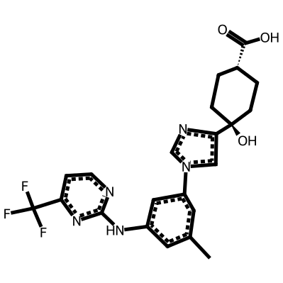 Cc1cc(Nc2nccc(C(F)(F)F)n2)cc(-n2cnc([C@]3(O)CC[C@H](C(=O)O)CC3)c2)c1